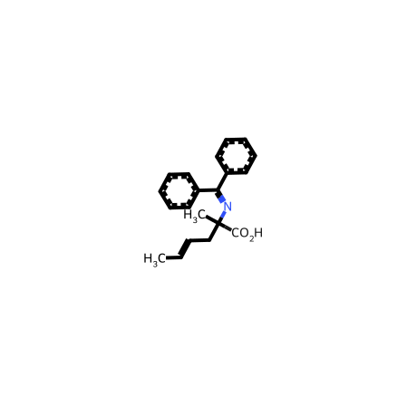 CC=CCC(C)(N=C(c1ccccc1)c1ccccc1)C(=O)O